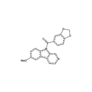 COc1ccc2c(c1)c1ccncc1n2C(=O)c1ccc2c(c1)OCO2